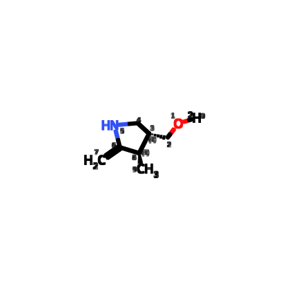 [2H]OC[C@H]1CNC(=C)[C@@H]1C